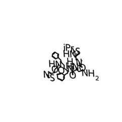 CC(C)C1NC(CN(C)C(=O)NC(CCN)C(=O)NC(CCC(Cc2ccccc2)NC(=O)OCc2cncs2)Cc2ccccc2)=CS1